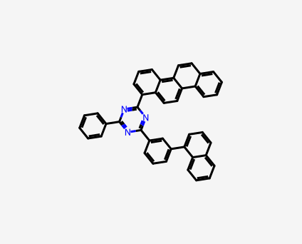 c1ccc(-c2nc(-c3cccc(-c4cccc5ccccc45)c3)nc(-c3cccc4c3ccc3c5ccccc5ccc43)n2)cc1